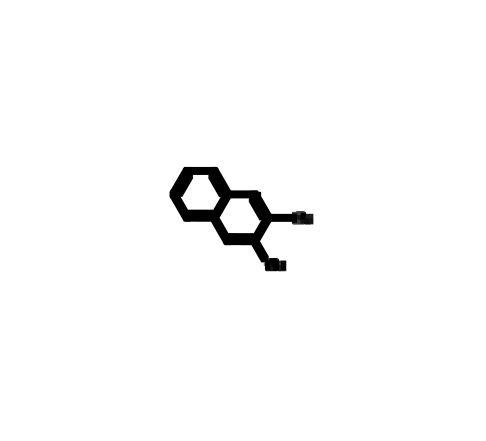 CC(C)(C)c1[c]c2ccccc2cc1C(C)(C)C